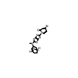 CN(c1nc2sc(-n3ccc(Br)cc3=O)nc2s1)C1C[C@H]2CC[C@@H](C1)N2